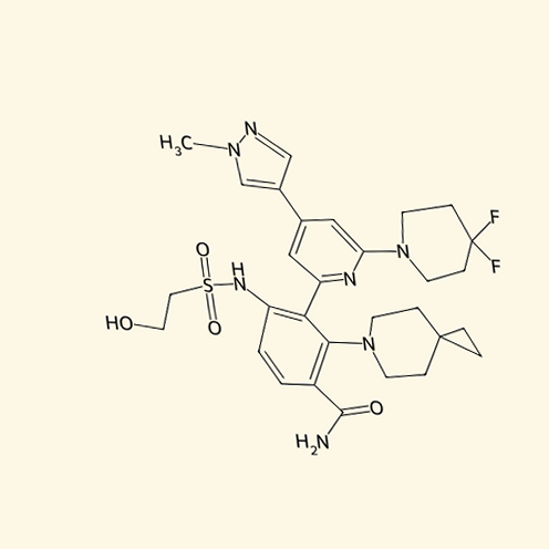 Cn1cc(-c2cc(-c3c(NS(=O)(=O)CCO)ccc(C(N)=O)c3N3CCC4(CC3)CC4)nc(N3CCC(F)(F)CC3)c2)cn1